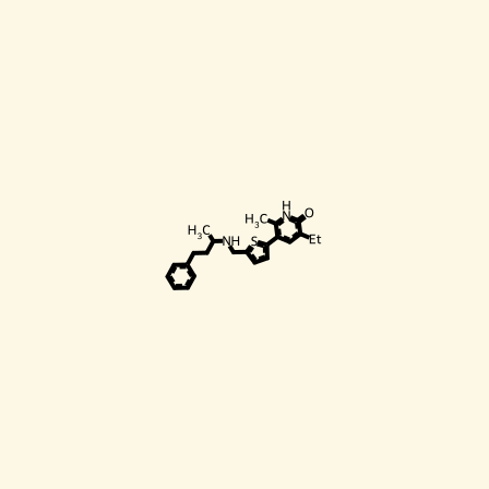 CCc1cc(-c2ccc(CNC(C)CCc3ccccc3)s2)c(C)[nH]c1=O